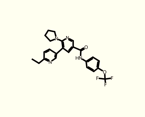 CCc1ccc(-c2cc(C(=O)Nc3ccc(OC(F)(F)F)cc3)cnc2N2CCCC2)cn1